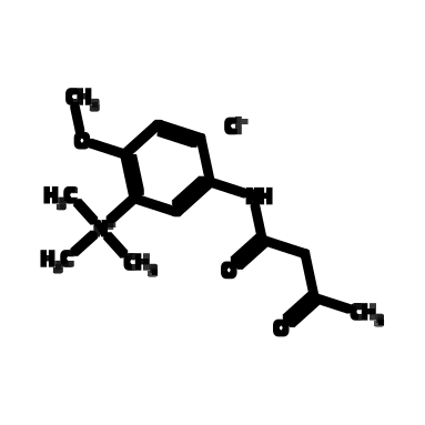 COc1ccc(NC(=O)CC(C)=O)cc1[N+](C)(C)C.[Cl-]